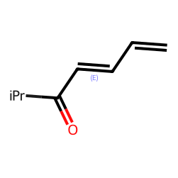 C=C/C=C/C(=O)C(C)C